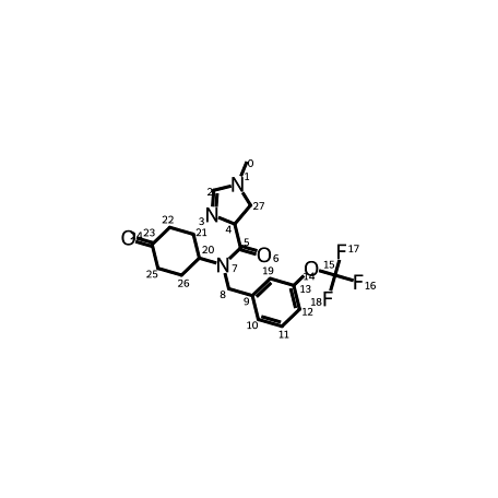 CN1C=NC(C(=O)N(Cc2cccc(OC(F)(F)F)c2)C2CCC(=O)CC2)C1